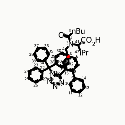 CCCCC(=O)N(Cc1ccc(-c2ccccc2)c(-c2nnnn2C(c2ccccc2)(c2ccccc2)c2ccccc2)c1)C(C(=O)O)C(C)C